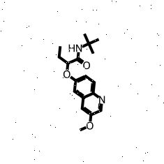 CCC(Oc1ccc2ncc(OC)cc2c1)C(=O)NC(C)(C)C